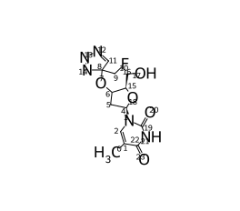 Cc1cn([C@H]2CC(OC3(CF)C=NN=N3)[C@@H](CO)O2)c(=O)[nH]c1=O